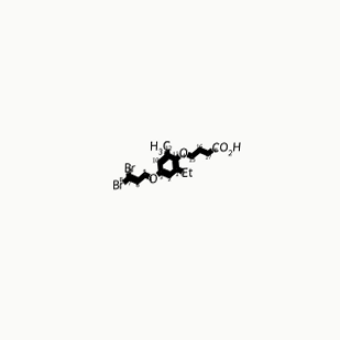 CCc1cc(OCC=C(Br)Br)cc(C)c1OCCCC(=O)O